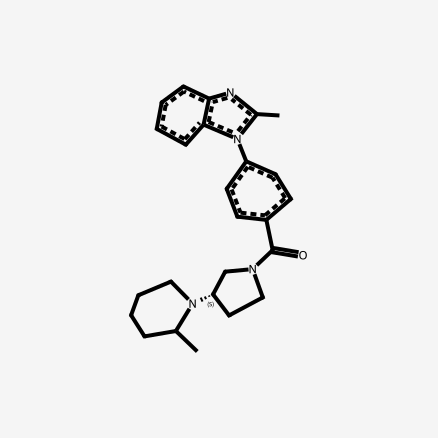 Cc1nc2ccccc2n1-c1ccc(C(=O)N2CC[C@H](N3CCCCC3C)C2)cc1